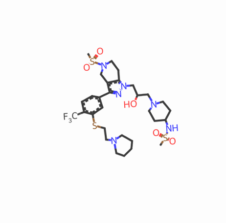 CS(=O)(=O)NC1CCN(CC(O)Cn2nc(-c3ccc(C(F)(F)F)c(SCCN4CCCCC4)c3)c3c2CCN(S(C)(=O)=O)C3)CC1